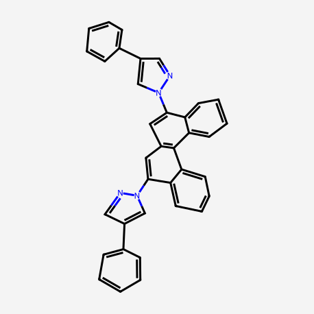 c1ccc(-c2cnn(-c3cc4cc(-n5cc(-c6ccccc6)cn5)c5ccccc5c4c4ccccc34)c2)cc1